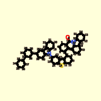 O=c1c2cccc(-c3cccc4sc5ccc(-n6c7ccccc7c7cc(-c8cccc(-c9ccccc9)c8)ccc76)cc5c34)c2c2cccc3c4ccccc4n1c32